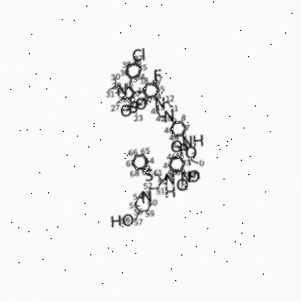 CCOP(=O)(Nc1ccc(N2CCN(c3cc(F)cc(-c4c(S(C)(=O)=O)c(C)n(C(C)C)c4-c4ccc(Cl)cc4)c3)CC2)cc1)c1ccc(NC(CCN2CCC(CO)CC2)CSc2ccccc2)c([N+](=O)[O-])c1